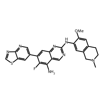 COc1cc2c(cc1Nc1ncc3c(N)c(F)c(-c4cnc5ncsc5c4)cc3n1)CN(C)CC2